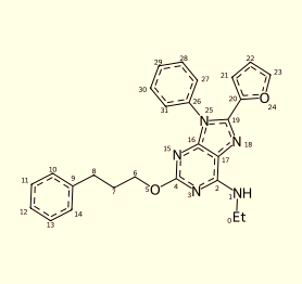 CCNc1nc(OCCCc2ccccc2)nc2c1nc(-c1ccco1)n2-c1ccccc1